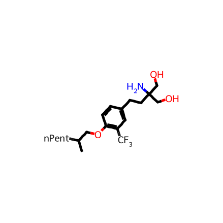 CCCCCC(C)COc1ccc(CCC(N)(CO)CO)cc1C(F)(F)F